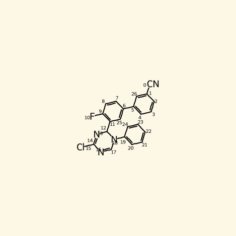 N#Cc1cccc(-c2ccc(F)c(C3N=C(Cl)N=CN3c3ccccc3)c2)c1